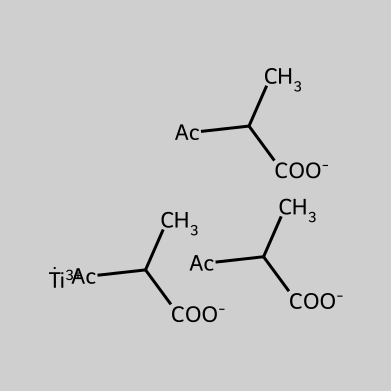 CC(=O)C(C)C(=O)[O-].CC(=O)C(C)C(=O)[O-].CC(=O)C(C)C(=O)[O-].[Ti+3]